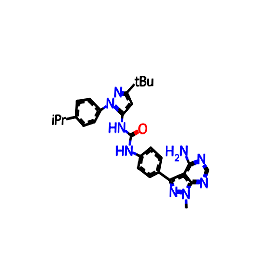 CC(C)c1ccc(-n2nc(C(C)(C)C)cc2NC(=O)Nc2ccc(-c3nn(C)c4ncnc(N)c34)cc2)cc1